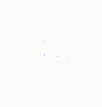 CC(Nc1cccc([N+](=O)[O-])c1[N+](=O)[O-])C(=O)O